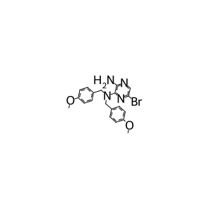 COc1ccc(CN(Cc2ccc(OC)cc2)c2nc(Br)cnc2N)cc1